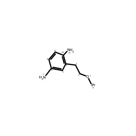 CC(C)OCCc1cc(N)ccc1N